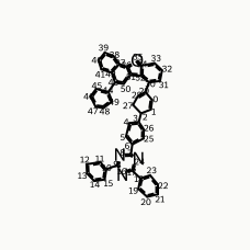 C1=CC(c2ccc(-c3nc(-c4ccccc4)nc(-c4ccccc4)n3)cc2)CC=C1c1cccc2oc3c4ccccc4c(-c4ccccc4)cc3c12